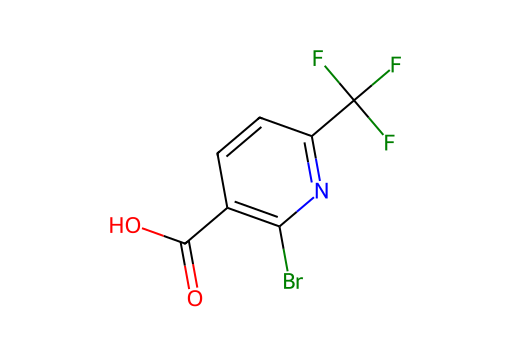 O=C(O)c1ccc(C(F)(F)F)nc1Br